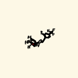 Fc1cc(C(F)(F)F)ccc1CO[C@H]1C[C@H]2CC3C1[C@H]3N2